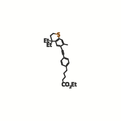 CCOC(=O)CCCCc1ccc(C#Cc2cc3c(cc2C)SCCC3(CC)CC)cc1